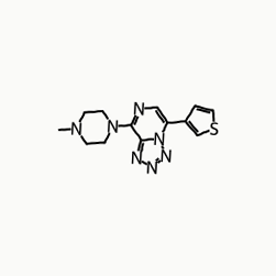 CN1CCN(c2ncc(-c3ccsc3)n3nnnc23)CC1